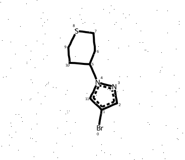 Brc1cnn(C2CCSCC2)c1